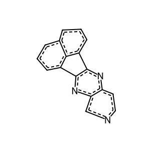 c1cc2c3c(cccc3c1)-c1nc3cnccc3nc1-2